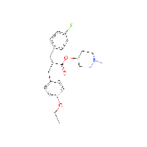 CC(C)Oc1ccc(CC(Cc2ccc(F)cc2)C(=O)OC2CCN(C)CC2)cc1